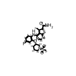 CC1c2c(Nc3ccc(F)cc3O[C@@H]3CCCN(S(C)(=O)=O)C3)ncnc2SC1C(N)=O